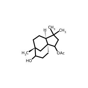 CC(=O)OC1CC(C)(C)[C@@H]2CC[C@]3(C)C[C@]12CCC3O